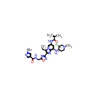 C=C(C)C(=O)Nc1cc(N[C@@H]2CCN(C)C[C@@H]2F)c2nc(-c3noc(CNC(=O)c4cnn(C(C)(C)C)c4)n3)c(CC(F)(F)F)n2c1